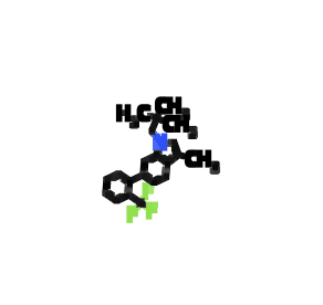 Cc1cn(CC(C)(C)C)c2cc(-c3ccccc3C(F)(F)F)ccc12